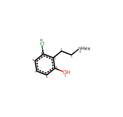 CCCCCCCCc1c(O)cccc1Cl